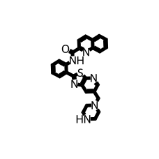 O=C(Nc1ccccc1-c1nc2cc(CN3CCNCC3)cnc2s1)c1ccc2ccccc2n1